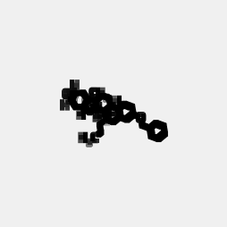 CCC[C@@H]1Cc2cc(OCc3ccccc3)ccc2[C@H]2CC[C@@]3(C)[C@@H](C[C@H]4C[C@H]5O[C@@H]5C[C@@]43O)[C@H]12